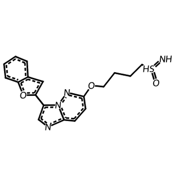 N=[SH](=O)CCCCOc1ccc2ncc(-c3cc4ccccc4o3)n2n1